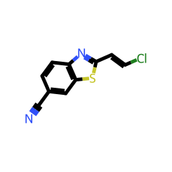 N#Cc1ccc2nc(C=CCl)sc2c1